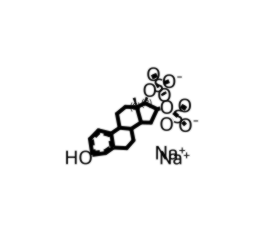 C[C@]12CCC3c4ccc(O)cc4CCC3C1CC(OS(=O)(=O)[O-])[C@@H]2OS(=O)(=O)[O-].[Na+].[Na+]